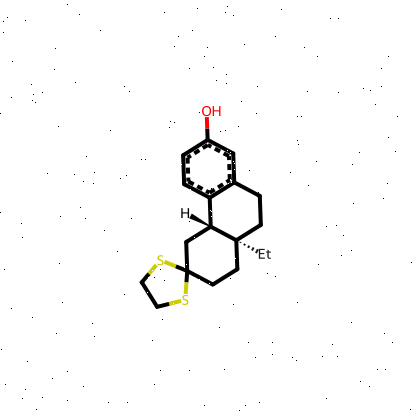 CC[C@@]12CCc3cc(O)ccc3[C@H]1CC1(CC2)SCCS1